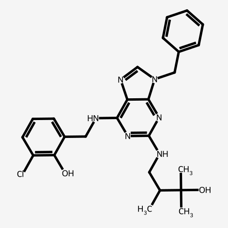 CC(CNc1nc(NCc2cccc(Cl)c2O)c2ncn(Cc3ccccc3)c2n1)C(C)(C)O